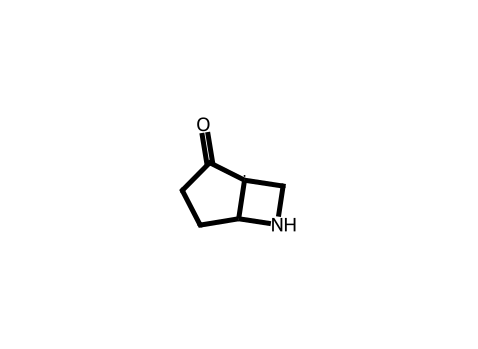 O=C1CCC2NC[C]12